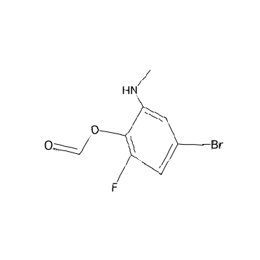 CNc1cc(Br)cc(F)c1OC=O